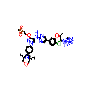 C[C@@H](Cn1cnnn1)Oc1cc(-c2cnc(Nc3cn([C@H]4CC[C@H](N5[C@@H]6CC[C@H]5COC6)CC4)nc3OCCS(C)(=O)=O)nc2)ccc1Cl